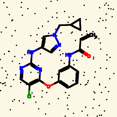 C=CC(=O)Nc1cccc(Oc2nc(Nc3cnn(CC4CC4)c3)ncc2Cl)c1